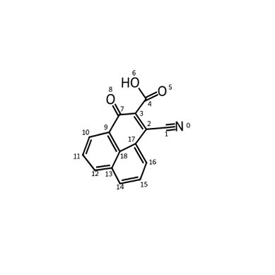 N#CC1=C(C(=O)O)C(=O)c2cccc3cccc1c23